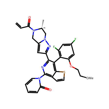 C=CC(=O)N1Cc2cc(-c3nc(-n4ccccc4=O)c4ccsc4c3-c3c(F)cc(F)cc3OCCOC)nn2C[C@H]1C